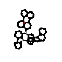 c1ccc(-c2cccc3cccc(-c4ccc(N(c5ccc6sc7ccc8ccccc8c7c6c5)c5cccc6c7ccccc7n(-c7ccccc7)c56)cc4)c23)cc1